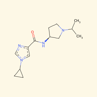 CC(C)N1CC[C@H](NC(=O)c2cn(C3CC3)cn2)C1